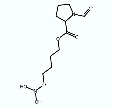 O=CN1CCCC1C(=O)OCCCCON(O)O